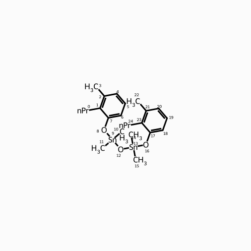 CCCc1c(C)cccc1[O][Sn]([CH3])([CH3])[O][Sn]([CH3])([CH3])[O]c1cccc(C)c1CCC